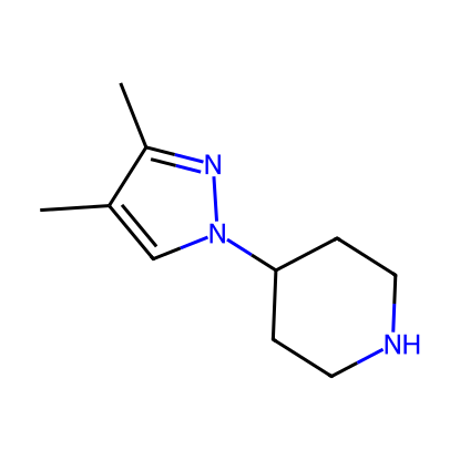 Cc1cn(C2CCNCC2)nc1C